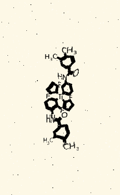 Cc1ccc(C(=O)Nc2ccc(F)[c]([Ti]([C]3=CC=CC3)([C]3=CC=CC3)[c]3c(F)ccc(NC(=O)c4ccc(C)c(C)c4)c3F)c2F)cc1C